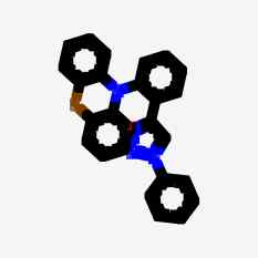 c1ccc(-n2cc(-c3ccccc3N3c4ccccc4Sc4ccccc43)nn2)cc1